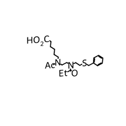 CCC(=O)N(CCSCc1ccccc1)CCN(CCCCCC(=O)O)C(C)=O